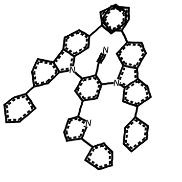 N#Cc1c(-n2c3cc(-c4ccccc4)ccc3c3ccc(-c4ccccc4)cc32)cc(-c2cccc(-c3ccccc3)n2)cc1-n1c2cc(-c3ccccc3)ccc2c2ccc(-c3ccccc3)cc21